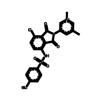 Cc1cc(N2C(=O)c3c(Cl)ccc(NS(=O)(=O)c4ccc(C(C)(C)C)cc4)c3C2=O)c[n+](C)c1